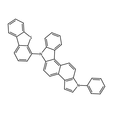 c1ccc(-n2ccc3c4ccc5c(c4ccc32)c2ccccc2n5-c2cccc3c2sc2ccccc23)cc1